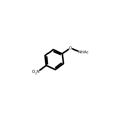 CC(=O)NOc1ccc([N+](=O)[O-])cc1